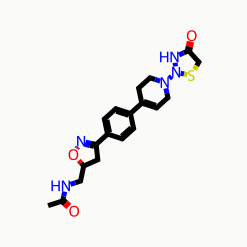 CC(=O)NCC1CC(c2ccc(C3=CCN(N4NC(=O)CS4)CC3)cc2)=NO1